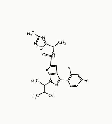 Cc1noc([C@@H](C)NC(=O)c2cc3c(-c4ccc(F)cc4F)nn(C(C)C(C)O)c3s2)n1